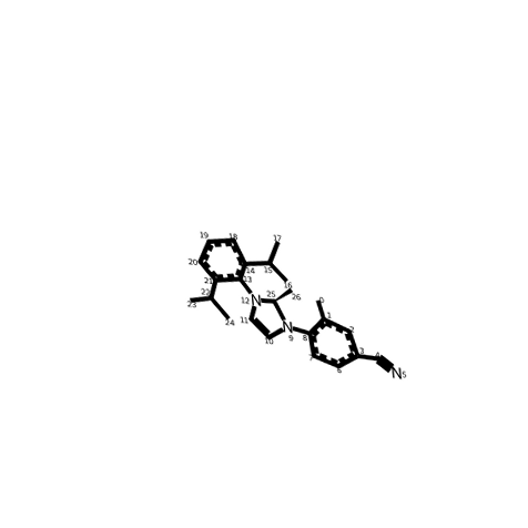 Cc1cc(C#N)ccc1N1C=CN(c2c(C(C)C)cccc2C(C)C)[C@H]1C